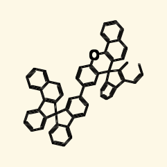 C/C=C\C1=C(C)C2(c3cc(-c4ccc5c(c4)C4(c6ccccc6-5)c5ccccc5-c5c4ccc4ccccc54)ccc3Oc3c2ccc2ccccc32)c2ccccc21